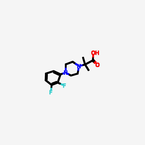 CC(C)(C(=O)O)N1CCN(c2cccc(F)c2F)CC1